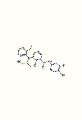 O=C(Nc1ccc(O)c(F)c1)c1cccc2c1OC[C@H](CO)N2c1ncccc1CI